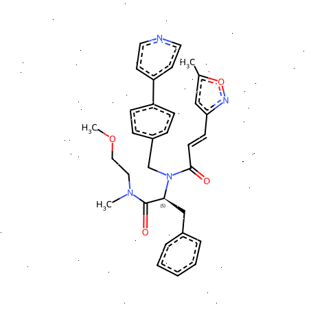 COCCN(C)C(=O)[C@H](Cc1ccccc1)N(Cc1ccc(-c2ccncc2)cc1)C(=O)C=Cc1cc(C)on1